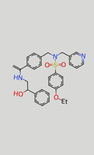 C=C(NCC(O)c1ccccc1)c1ccc(CN(Cc2cccnc2)S(=O)(=O)c2ccc(OCC)cc2)cc1